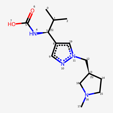 CC(C)[C@H](NC(=O)O)c1cnn(C[C@H]2CCN(C)C2)c1